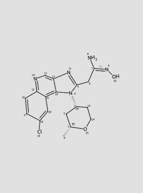 C[C@@H]1C[C@H](n2c(C/C(N)=N\O)nc3cnc4ccc(Cl)cc4c32)CCO1